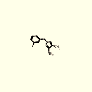 Cc1cn(Cc2cccc(F)c2)nc1N